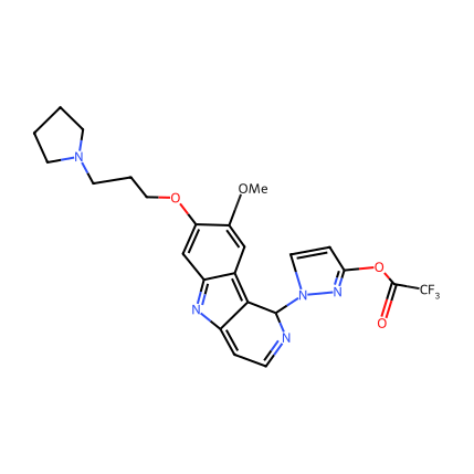 COc1cc2c(cc1OCCCN1CCCC1)=NC1=CC=NC(n3ccc(OC(=O)C(F)(F)F)n3)C=21